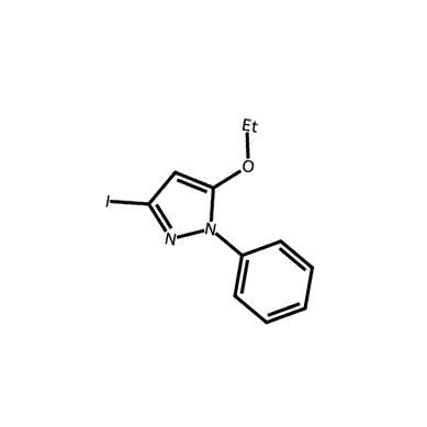 CCOc1cc(I)nn1-c1ccccc1